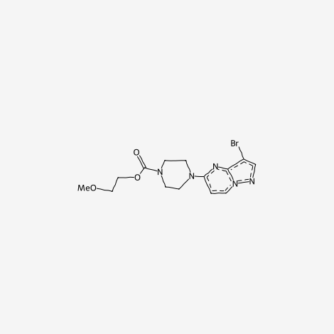 COCCOC(=O)N1CCN(c2ccn3ncc(Br)c3n2)CC1